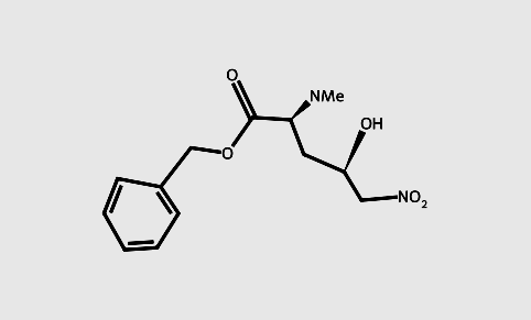 CN[C@@H](C[C@@H](O)C[N+](=O)[O-])C(=O)OCc1ccccc1